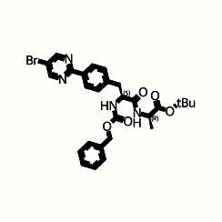 C[C@@H](NC(=O)[C@H](Cc1ccc(-c2ncc(Br)cn2)cc1)NC(=O)OCc1ccccc1)C(=O)OC(C)(C)C